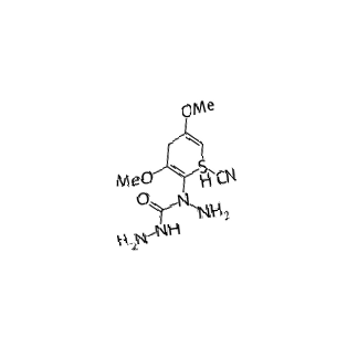 COC1=C[SH](C#N)C(N(N)C(=O)NN)=C(OC)C1